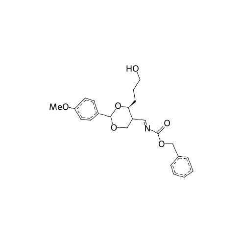 COc1ccc(C2OCC(/C=N/C(=O)OCc3ccccc3)[C@H](CCCO)O2)cc1